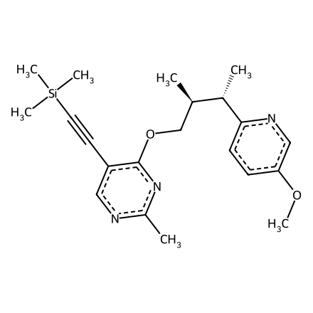 COc1ccc([C@@H](C)[C@H](C)COc2nc(C)ncc2C#C[Si](C)(C)C)nc1